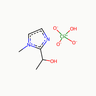 CC(O)c1nccn1C.[O-][Cl+3]([O-])([O-])O